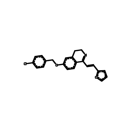 Clc1ccc(COc2ccc3c(c2)CCN=C3C=Cc2ccco2)cc1